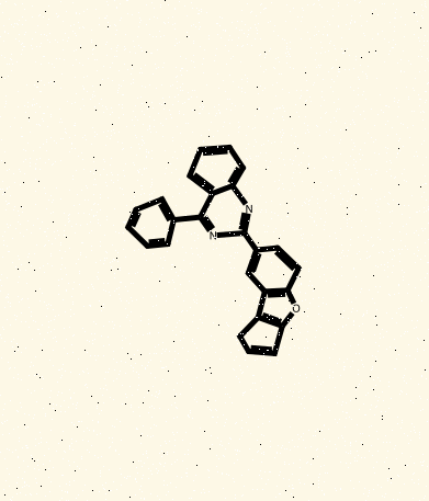 C1=Cc2oc3ccc(-c4nc(-c5ccccc5)c5ccccc5n4)cc3c2C1